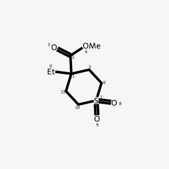 CCC1(C(=O)OC)CCS(=O)(=O)CC1